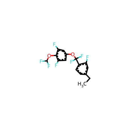 CCc1ccc(C(F)(F)Oc2cc(F)c(OC(F)F)c(F)c2)c(F)c1